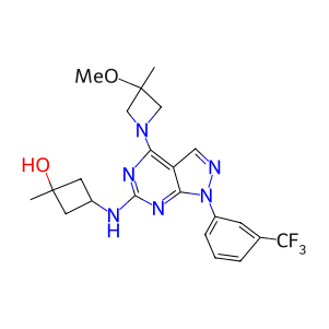 COC1(C)CN(c2nc(NC3CC(C)(O)C3)nc3c2cnn3-c2cccc(C(F)(F)F)c2)C1